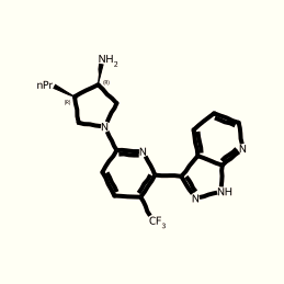 CCC[C@@H]1CN(c2ccc(C(F)(F)F)c(-c3n[nH]c4ncccc34)n2)C[C@@H]1N